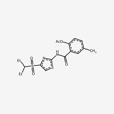 CCC(CC)S(=O)(=O)c1csc(NC(=O)c2cc(C)ccc2OC(C)=O)n1